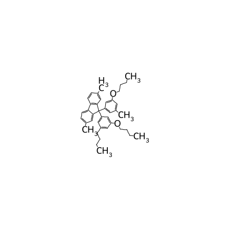 CCCCOc1cc(C)cc(C2(c3cc(CCCC)cc(OCCCC)c3)c3cc(C)ccc3-c3ccc(C)cc32)c1